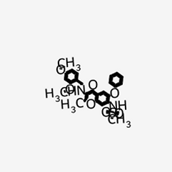 COc1ccc(CNc2c(C)oc3cc(NS(C)(=O)=O)c(Oc4ccccc4)cc3c2=O)c(OC)c1